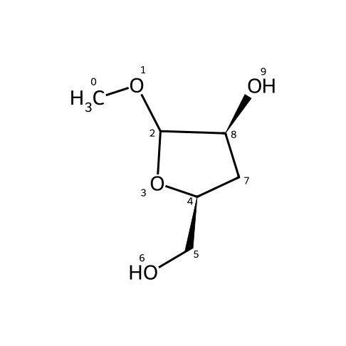 COC1O[C@H](CO)C[C@@H]1O